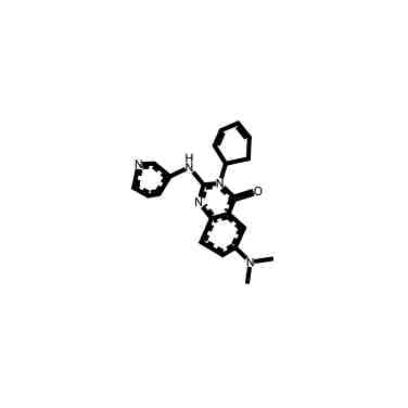 CN(C)c1ccc2nc(Nc3cccnc3)n(C3C=CC=CC3)c(=O)c2c1